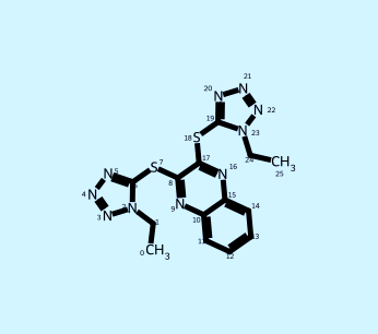 CCn1nnnc1Sc1nc2ccccc2nc1Sc1nnnn1CC